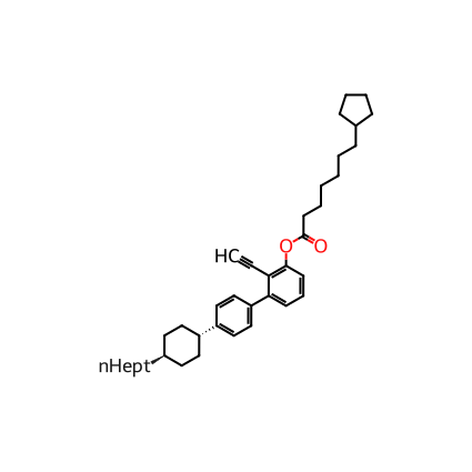 C#Cc1c(OC(=O)CCCCCCC2CCCC2)cccc1-c1ccc([C@H]2CC[C@H](CCCCCCC)CC2)cc1